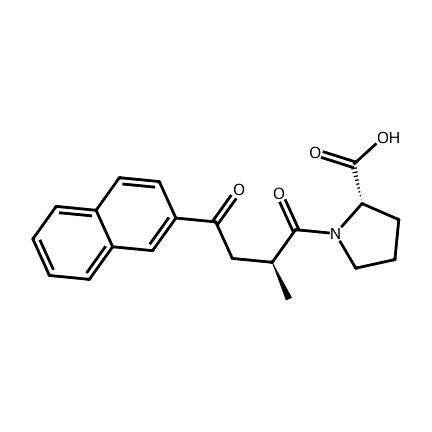 C[C@@H](CC(=O)c1ccc2ccccc2c1)C(=O)N1CCC[C@H]1C(=O)O